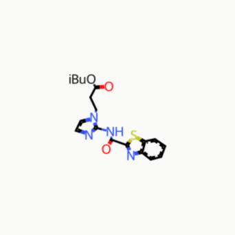 CC(C)COC(=O)CCn1ccnc1NC(=O)c1nc2ccccc2s1